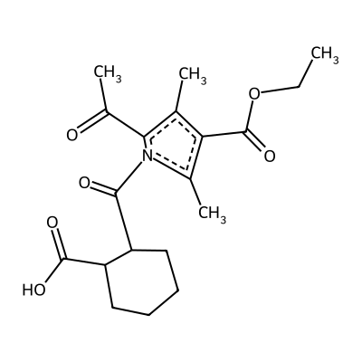 CCOC(=O)c1c(C)c(C(C)=O)n(C(=O)C2CCCCC2C(=O)O)c1C